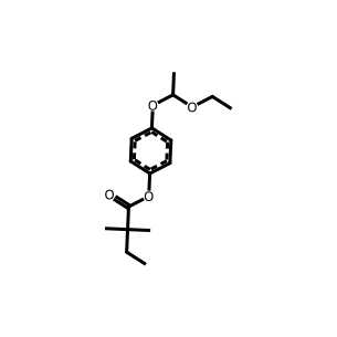 CCOC(C)Oc1ccc(OC(=O)C(C)(C)CC)cc1